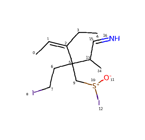 CC=C(CC)C(CCI)(C[S+]([O-])I)C(C)C=N